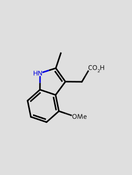 COc1cccc2[nH]c(C)c(CC(=O)O)c12